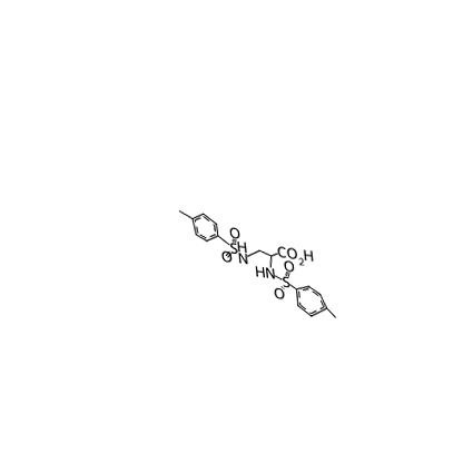 Cc1ccc(S(=O)(=O)NCC(NS(=O)(=O)c2ccc(C)cc2)C(=O)O)cc1